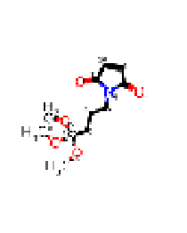 CO[Si](CCCN1C(=O)C=CC1=O)(OC)OC